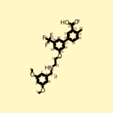 COc1cc(OC)cc([C@@H](C)NCCOc2cc(-c3ccc(C)c(C(=O)O)c3)cc(C(F)(F)F)c2)c1